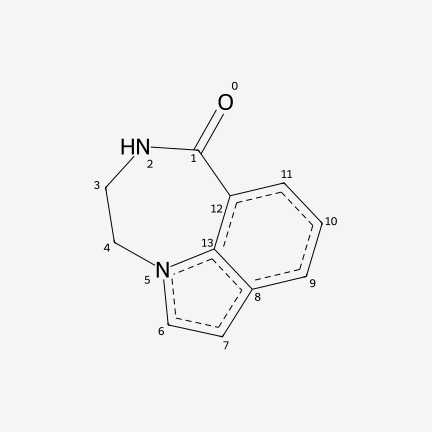 O=C1NCCn2ccc3cccc1c32